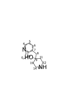 CCc1ncccc1CC1(O)CCNCC1